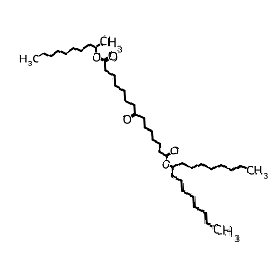 CCCCCCCCC(C)OC(=O)CCCCCCC(=O)CCCCCCC(=O)OC(CCCCCCCC)CCCCCCCC